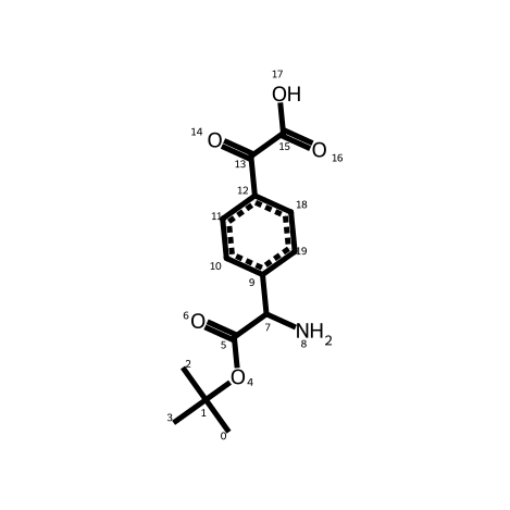 CC(C)(C)OC(=O)C(N)c1ccc(C(=O)C(=O)O)cc1